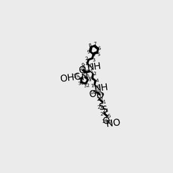 C[C@H](CCc1ccccc1)N[C@@H](CCCCNC(=O)OCCSSCCON=O)C(=O)N1CCC[C@H]1C=O